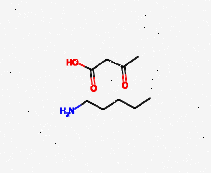 CC(=O)CC(=O)O.CCCCCN